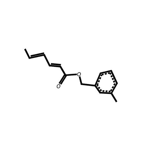 C/C=C/C=C/C(=O)OCc1cccc(C)c1